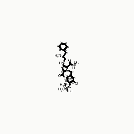 CCNC(=O)c1c(NC[C@H](N)Cc2ccccc2)nc(C(=O)OC)n1Cc1ccc(O[Si](C)(C)C(C)(C)C)c(Cl)c1